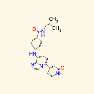 CC(C)CNC(=O)c1ccc(Nc2ccc(-c3cc[nH]c(=O)c3)n3ccnc23)cc1